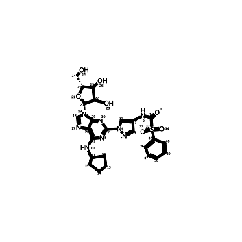 O=C(Nc1cnn(-c2nc(NC3CCCC3)c3ncn([C@@H]4O[C@H](CO)C(O)C4O)c3n2)c1)S(=O)(=O)c1ccccc1